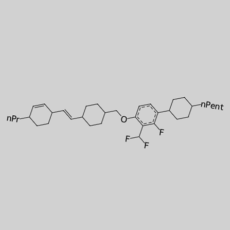 CCCCCC1CCC(c2ccc(OCC3CCC(/C=C/C4C=CC(CCC)CC4)CC3)c(C(F)F)c2F)CC1